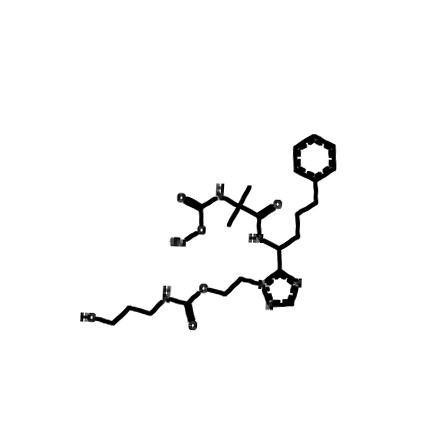 CC(C)(C)OC(=O)NC(C)(C)C(=O)NC(CCCc1ccccc1)c1ncnn1CCOC(=O)NCCCO